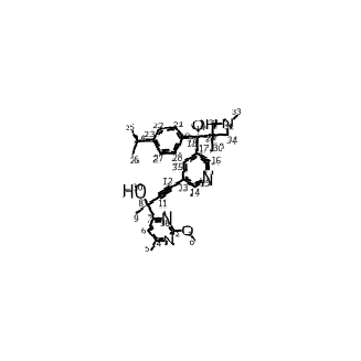 COc1nc(C)cc([C@](C)(O)C#Cc2cncc([C@@](O)(c3ccc(C(C)C)cc3)C3(C)CN(C)C3)c2)n1